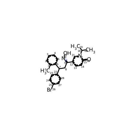 Cc1ccccc1C(C/C(=N/O)c1ccc(=O)n(C(C)C)c1)c1ccc(Br)cc1